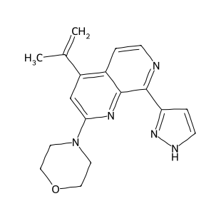 C=C(C)c1cc(N2CCOCC2)nc2c(-c3cc[nH]n3)nccc12